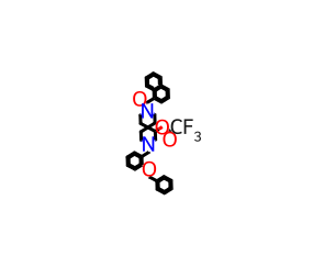 O=C(c1cccc2ccccc12)N1CCC2(CCN(Cc3ccccc3OCc3ccccc3)CC2OC(=O)C(F)(F)F)CC1